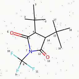 CC(C)(C)C1C(=O)N(C(F)(F)F)C(=O)C1C(C)(C)C